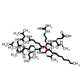 CCCCCCCCCCCCCCCC(=O)N[C@H](C(=O)N[C@@H](CC(C)C)C(=O)N[C@@H](C)C(=O)N[C@H](C(=O)N[C@@H](CCCCN)C(=O)N[C@@H](CC(C)C)C(=O)N[C@@H](CCCNC(=N)N)C(=O)N[C@@H](CCC(=O)O)C(=O)NC)[C@@H](C)O)C(C)C